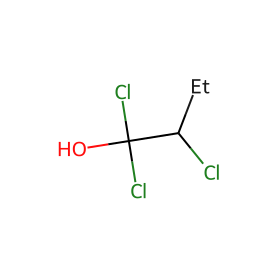 CCC(Cl)C(O)(Cl)Cl